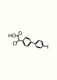 O=C(O)C(Cl)c1ccc(-c2ccc(I)cc2)cc1